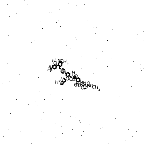 COCC(=O)N1CCO[C@@H](CNc2ccc(S(=O)(=O)NC(=O)c3ccc(N4CCN(CC5=C(c6ccc(C(F)(F)F)cc6Cl)CC(C)(C)CC5)CC4)cc3Oc3cnc4[nH]ccc4c3)cc2[N+](=O)[O-])C1